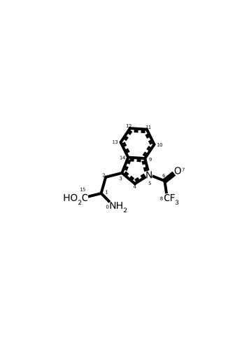 NC(Cc1cn(C(=O)C(F)(F)F)c2ccccc12)C(=O)O